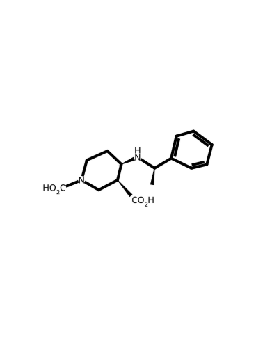 C[C@@H](N[C@@H]1CCN(C(=O)O)C[C@@H]1C(=O)O)c1ccccc1